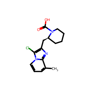 Cc1cccn2c(Cl)c(C[C@@H]3CCCCN3C(=O)O)nc12